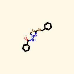 O=C(NN1CSC(SCc2ccccc2)=N1)c1ccccc1